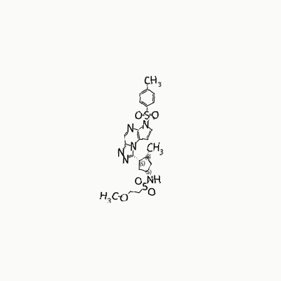 COCCS(=O)(=O)N[C@H]1C[C@@H](C)[C@@H](c2nnc3cnc4c(ccn4S(=O)(=O)c4ccc(C)cc4)n23)C1